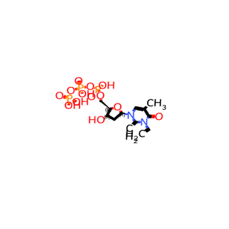 C=CN1C(=C)N([C@H]2C[C@@H](O)[C@@H](COP(=O)(O)OP(=O)(O)OP(=O)(O)O)O2)C=C(C)C1=O